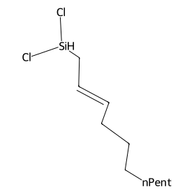 CCCCCCCCC=CC[SiH](Cl)Cl